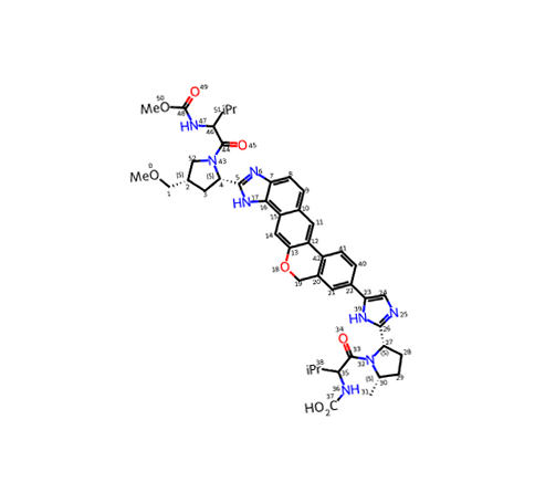 COC[C@H]1C[C@@H](c2nc3ccc4cc5c(cc4c3[nH]2)OCc2cc(-c3cnc([C@@H]4CC[C@H](C)N4C(=O)C(NC(=O)O)C(C)C)[nH]3)ccc2-5)N(C(=O)C(NC(=O)OC)C(C)C)C1